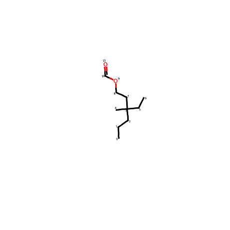 CCCC(C)(CC)CCOC=O